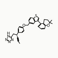 CC#C[C@@H](Cc1nnn[nH]1)c1ccc(OCc2ccc3scc(-c4cccc5c4CCC(C)(C)O5)c3c2)cc1